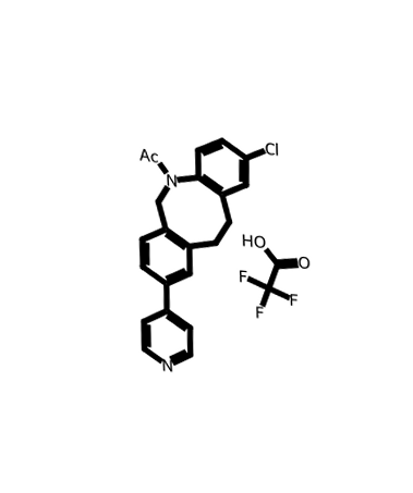 CC(=O)N1Cc2ccc(-c3ccncc3)cc2CCc2cc(Cl)ccc21.O=C(O)C(F)(F)F